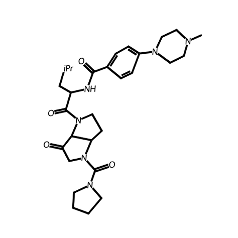 CC(C)CC(NC(=O)c1ccc(N2CCN(C)CC2)cc1)C(=O)N1CCC2C1C(=O)CN2C(=O)N1CCCC1